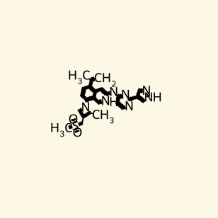 C=C(C)c1ccc(N2C[C@H](CS(C)(=O)=O)[C@H]2C)c2cnc(Nc3ccnc(-c4cn[nH]c4)n3)cc12